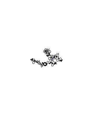 C[n+]1c2ccc(OCC(O/N=C(\C(=O)NC3C(=O)N(OS(=O)(=O)O)C3(C)C)c3csc(NC(=O)OC(C)(C)C)n3)C(=O)OC(C)(C)C)cc2cn1CCCNC(=O)OC(C)(C)C